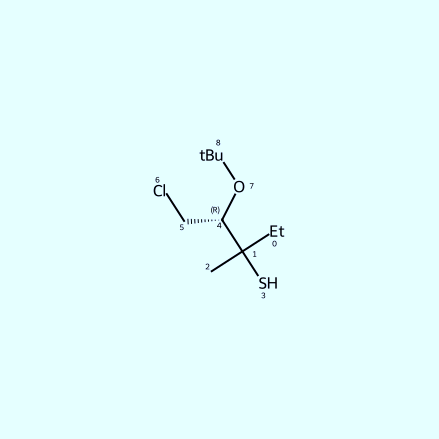 CCC(C)(S)[C@H](CCl)OC(C)(C)C